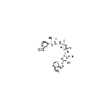 Nc1ncnc2c1ncn2[C@@H]1O[C@H](COP(=O)(O)OP(=O)(O)OC[C@H]2O[C@@H]([n+]3cccc(C(=O)[O-])c3)[C@H](O)[C@@H]2O)[C@@H](O)[C@H]1O